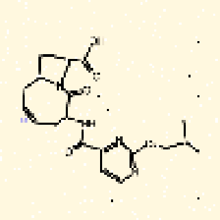 CC(C)COc1nccc(C(=O)NC2C/C=C\CC3CCC(C(=O)O)N3C2=O)n1